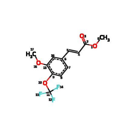 COC(=O)/C=C/c1ccc(OC(F)(F)F)c(OC)c1